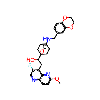 COc1ccc2ncc(F)c(CC(O)C34CCC(NCc5ccc6c(c5)OCCO6)(CC3)CO4)c2n1